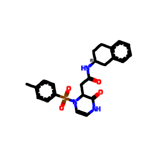 Cc1ccc(S(=O)(=O)N2C=CNC(=O)C2CC(=O)N[C@H]2CCc3ccccc3C2)cc1